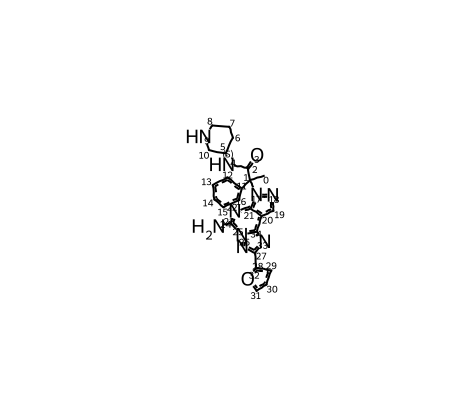 CC(C(=O)N[C@H]1CCCNC1)(c1ccccc1)n1ncc2c1nc(N)n1nc(-c3ccco3)nc21